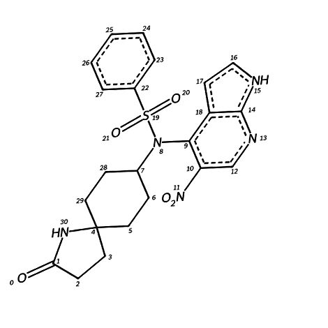 O=C1CCC2(CCC(N(c3c([N+](=O)[O-])cnc4[nH]ccc34)S(=O)(=O)c3ccccc3)CC2)N1